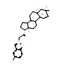 COC[C@]12CC[C@@](C)(O)C[C@H]1CC[C@H]1[C@@H]3CC[C@H](C(=O)Cn4cc5cc(F)ccc5n4)[C@@]3(C)CC[C@@]12C